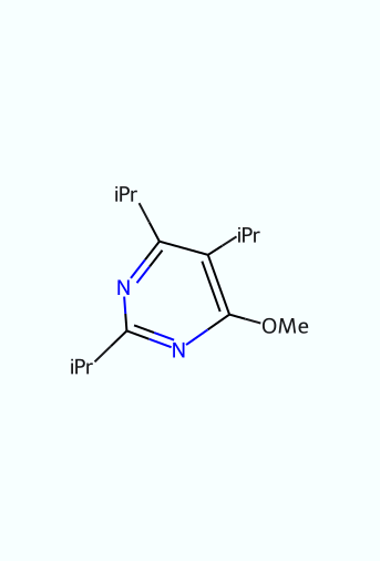 COc1nc(C(C)C)nc(C(C)C)c1C(C)C